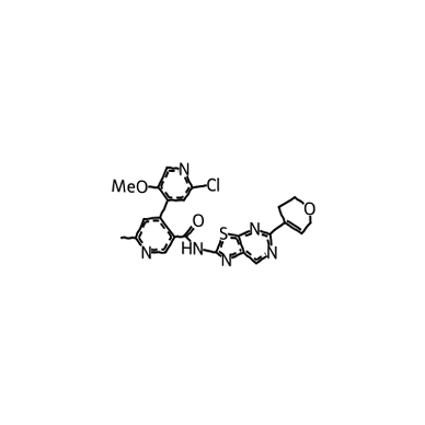 COc1cnc(Cl)cc1-c1cc(C)ncc1C(=O)Nc1nc2cnc(C3=CCOCC3)nc2s1